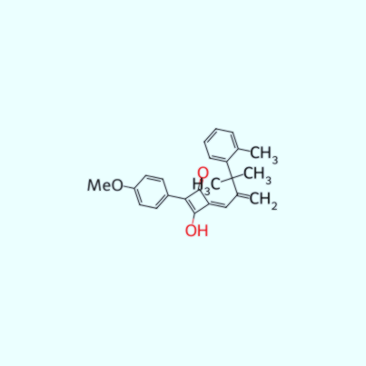 C=C(/C=C1\C(=O)C(c2ccc(OC)cc2)=C1O)C(C)(C)c1ccccc1C